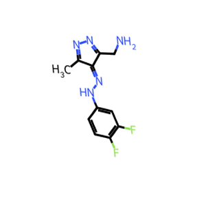 CC1=NN=C(CN)/C1=N/Nc1ccc(F)c(F)c1